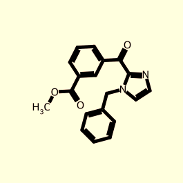 COC(=O)c1cccc(C(=O)c2nccn2Cc2ccccc2)c1